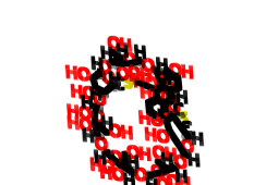 OC[C@H]1O[C@@H]2O[C@H]3C(O)C(O)[C@@H]4O[C@@H]3CSCc3c5ccccc5c(c5ccccc35)CSC[C@H]3O[C@H](O[C@H]5C(O)C(O)[C@H](O[C@@H]5CO)O[C@H]5C(O)C(O)[C@H](O[C@@H]5CO)O[C@H]1C(O)C2O)C(O)C(O)[C@@H]3O[C@@H]1O[C@H](CO)[C@@H](O[C@H]2O[C@H](CO)[C@@H](O4)C(O)C2O)C(O)C1O